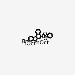 CCCCCCCCC1(CCCCCCCC)c2cc(Br)ccc2-c2c1cc(B1Oc3ccccc3O1)c1ccccc21